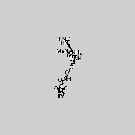 CNC(=O)[C@H](CCCNC(N)=O)NC(=O)[C@@H](NC(=O)CCOCCOCCNC(=O)CCN1C(=O)CC(CC(C)C)C1=O)C(C)C